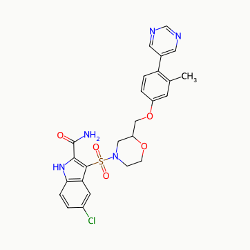 Cc1cc(OCC2CN(S(=O)(=O)c3c(C(N)=O)[nH]c4ccc(Cl)cc34)CCO2)ccc1-c1cncnc1